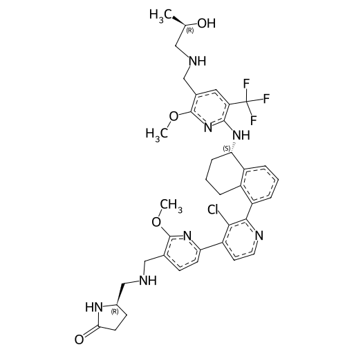 COc1nc(-c2ccnc(-c3cccc4c3CCC[C@@H]4Nc3nc(OC)c(CNC[C@@H](C)O)cc3C(F)(F)F)c2Cl)ccc1CNC[C@H]1CCC(=O)N1